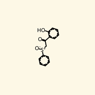 O=C(C[S+]([O-])c1ccccc1)c1ccccc1O